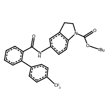 CC(C)(C)OC(=O)N1CCc2cc(NC(=O)c3ccccc3-c3ccc(C(F)(F)F)cc3)ccc21